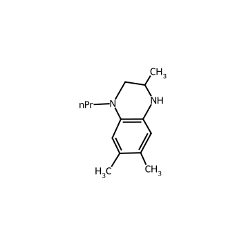 CCCN1CC(C)Nc2cc(C)c(C)cc21